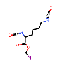 O=C=NCCCCC(N=C=O)C(=O)OCI